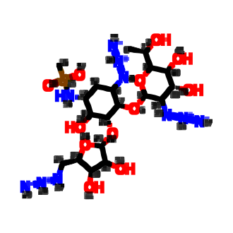 C[C@@H](O)C1O[C@H](O[C@@H]2C(N=[N+]=[N-])C[C@@H](NS(C)(=O)=O)C(O)[C@H]2O[C@@H]2O[C@H](CN=[N+]=[N-])[C@H](O)C2O)C(N=[N+]=[N-])[C@@H](O)[C@@H]1O